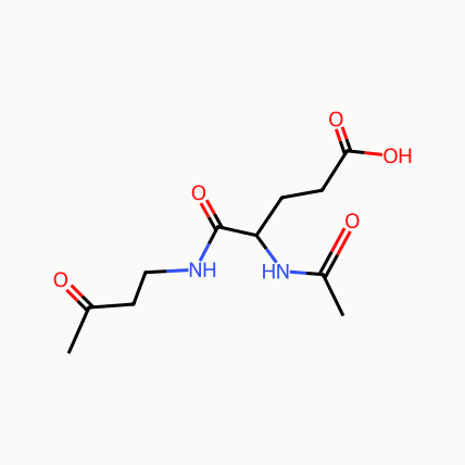 CC(=O)CCNC(=O)C(CCC(=O)O)NC(C)=O